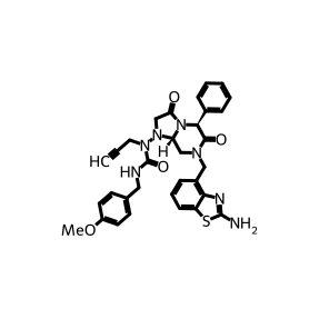 C#CCN(C(=O)NCc1ccc(OC)cc1)N1CC(=O)N2[C@@H](c3ccccc3)C(=O)N(Cc3cccc4sc(N)nc34)C[C@@H]21